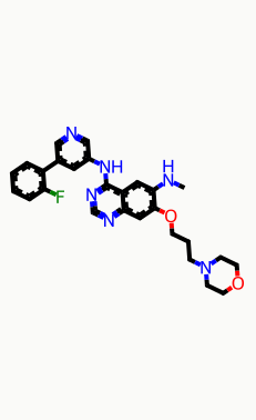 CNc1cc2c(Nc3cncc(-c4ccccc4F)c3)ncnc2cc1OCCCN1CCOCC1